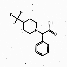 O=C(O)C(c1ccccc1)N1CCC(C(F)(F)F)CC1